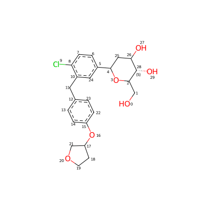 OCC1OC(c2ccc(Cl)c(Cc3ccc(OC4CCOC4)cc3)c2)CC(O)[C@@H]1O